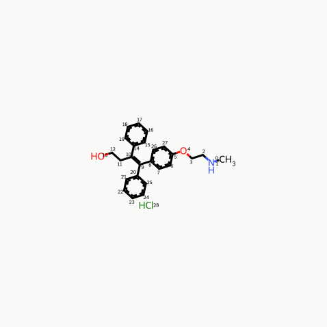 CNCCOc1ccc(/C(=C(/CCO)c2ccccc2)c2ccccc2)cc1.Cl